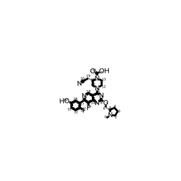 CN1CCC[C@H]1COc1nc(N2CCN(C(=O)O)[C@@H](CC#N)C2)c2cnc(-c3cc(O)ccc3F)c(F)c2n1